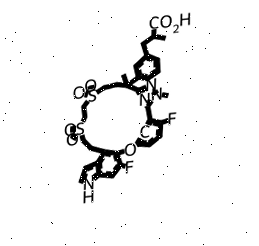 CC(Cc1cccc(C2(C)CCS(=O)(=O)CCS(=O)(=O)CCc3c(c(F)cc4[nH]ccc34)Oc3ccc(F)c(c3)-c3nc2nn3C)c1)C(=O)O